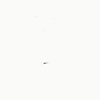 CCC(=O)[C@@H](N)CCCNC(=N)N